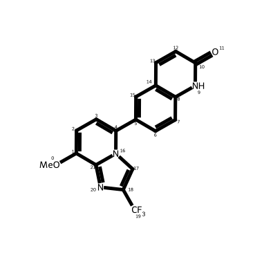 COc1ccc(-c2ccc3[nH]c(=O)ccc3c2)n2cc(C(F)(F)F)nc12